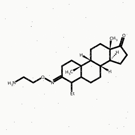 CCC1C(=NOCCN)CC[C@@]2(C)C1CC[C@@H]1[C@H]2CC[C@]2(C)C(=O)CC[C@@H]12